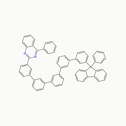 c1ccc(-c2nc(-c3cccc(-c4cccc(-c5cccc(-c6cccc(-c7cccc(C8(c9ccccc9)c9ccccc9-c9ccccc98)c7)c6)c5)c4)c3)nc3ccccc23)cc1